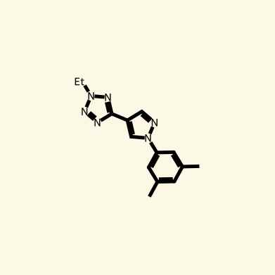 CCn1nnc(-c2cnn(-c3cc(C)cc(C)c3)c2)n1